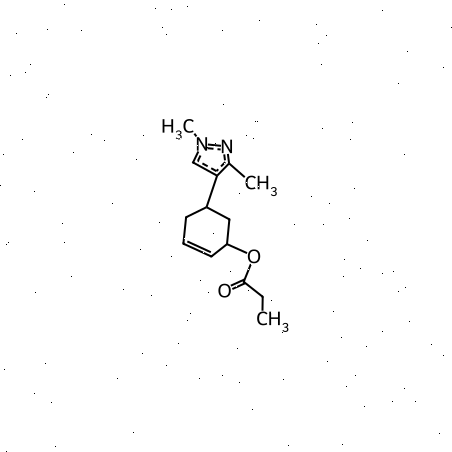 CCC(=O)OC1C=CCC(c2cn(C)nc2C)C1